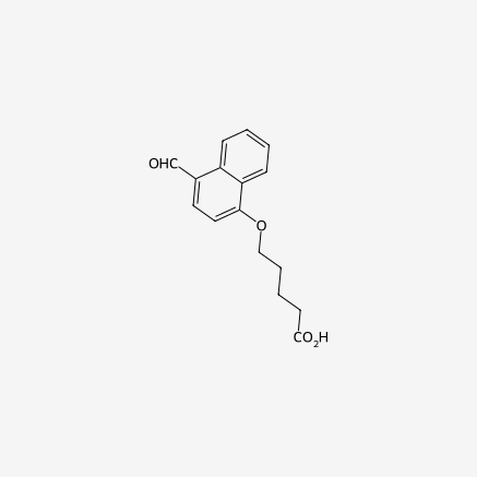 O=Cc1ccc(OCCCCC(=O)O)c2ccccc12